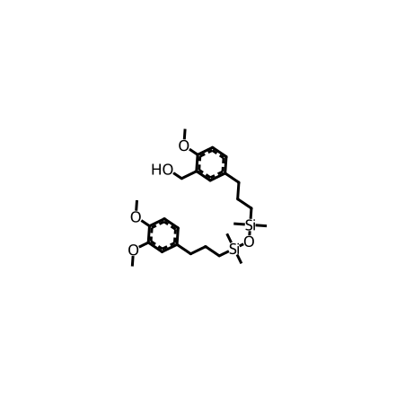 COc1ccc(CCC[Si](C)(C)O[Si](C)(C)CCCc2ccc(OC)c(OC)c2)cc1CO